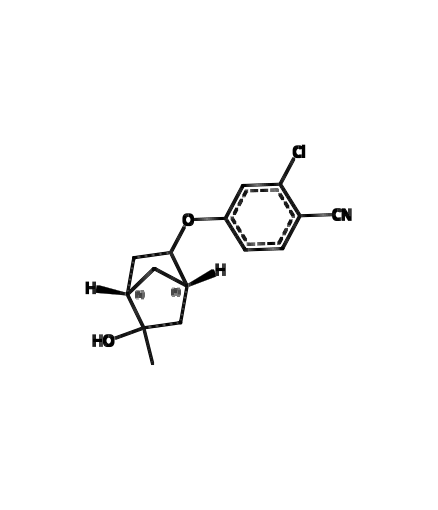 CC1(O)C[C@@H]2C[C@H]1CC2Oc1ccc(C#N)c(Cl)c1